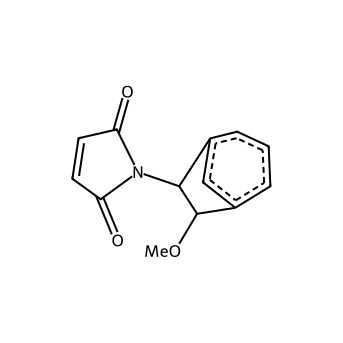 COC1c2cccc(c2)C1N1C(=O)C=CC1=O